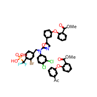 COC(=O)c1ccccc1Oc1cccc(-c2cnc(N(Cc3ccc(C(F)(F)P(=O)(O)O)c(Br)c3)c3ccc(Cl)c(Cl)c3)o2)c1.COC(=O)c1ccccc1Oc1cccc(C(C)=O)c1